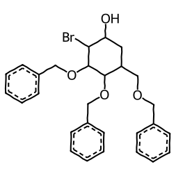 OC1CC(COCc2ccccc2)C(OCc2ccccc2)C(OCc2ccccc2)C1Br